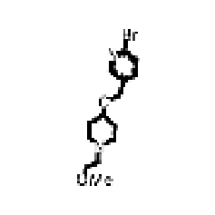 COCCN1CCC(OCc2ccc(Br)nc2)CC1